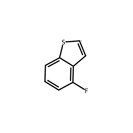 Fc1cccc2s[c]cc12